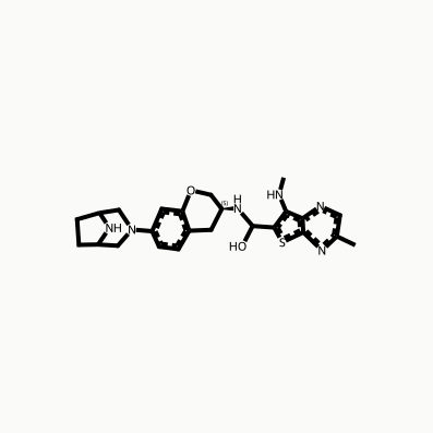 CNc1c(C(O)N[C@@H]2COc3cc(N4CC5CCC(C4)N5)ccc3C2)sc2nc(C)cnc12